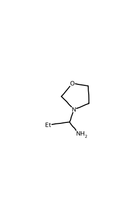 CCC(N)N1CCOC1